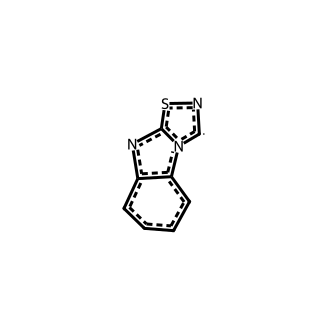 [c]1nsc2nc3ccccc3n12